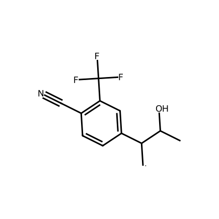 [CH2]C(c1ccc(C#N)c(C(F)(F)F)c1)C(C)O